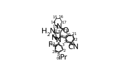 CC(C)c1ccc(-n2nc(N)c(C(=O)N3CCCCC3)c2-c2cccc(C#N)c2)c(F)c1